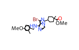 COC(=O)C1(C)CCC(c2nc(Br)c3c(NCc4ccc(OC)cc4C)nccn23)CC1